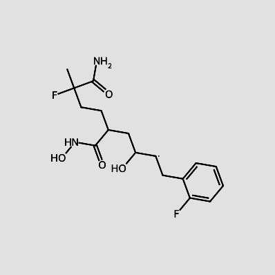 CC(F)(CCC(CC(O)[CH]Cc1ccccc1F)C(=O)NO)C(N)=O